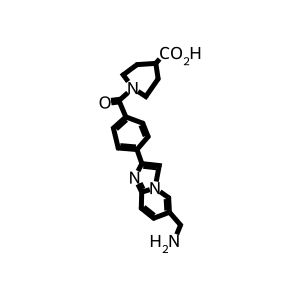 NCc1ccc2nc(-c3ccc(C(=O)N4CCC(C(=O)O)CC4)cc3)cn2c1